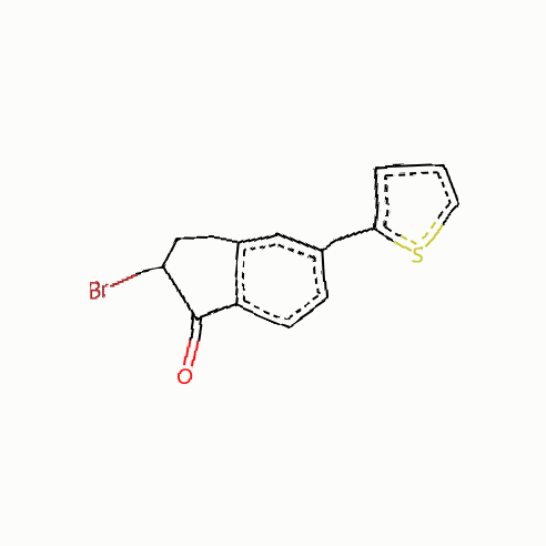 O=C1c2ccc(-c3cccs3)cc2CC1Br